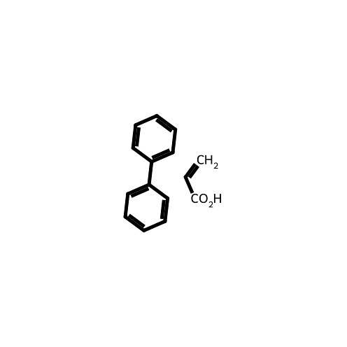 C=CC(=O)O.c1ccc(-c2ccccc2)cc1